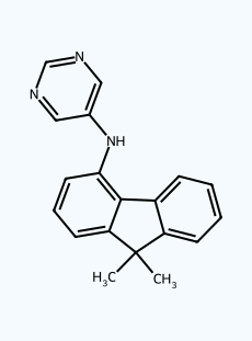 CC1(C)c2ccccc2-c2c(Nc3cncnc3)cccc21